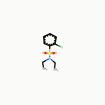 CCN(CC)S(=O)(=O)c1ccccc1Cl